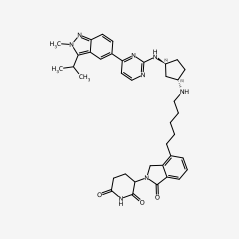 CC(C)c1c2cc(-c3ccnc(N[C@H]4CC[C@H](NCCCCCc5cccc6c5CN(C5CCC(=O)NC5=O)C6=O)C4)n3)ccc2nn1C